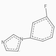 Fc1cccc(-n2[c]cnc2)c1